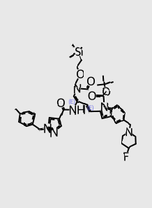 Cc1ccc(Cn2cc(C(=O)NC(/C=C/c3cc4cc(CN5CCC(F)CC5)ccc4n3C(=O)OC(C)(C)C)=C/N(C=O)COCC[Si](C)(C)C)cn2)cc1